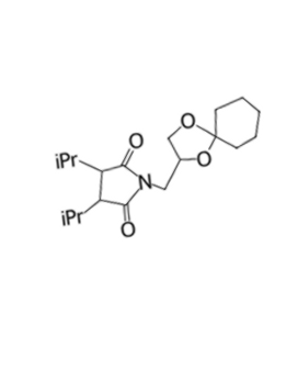 CC(C)C1C(=O)N(CC2COC3(CCCCC3)O2)C(=O)C1C(C)C